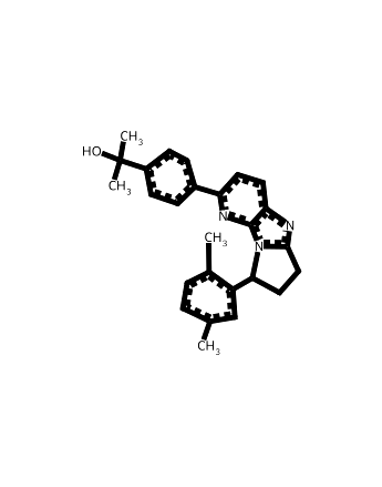 Cc1ccc(C)c(C2CCc3nc4ccc(-c5ccc(C(C)(C)O)cc5)nc4n32)c1